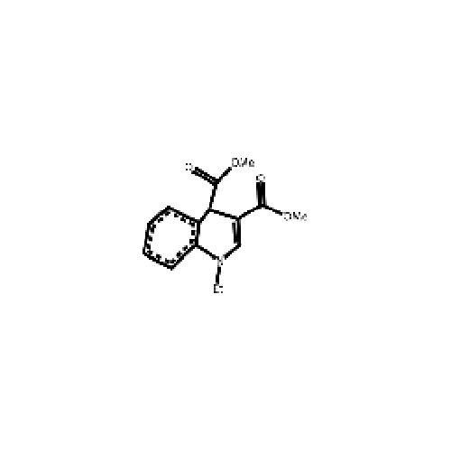 CCN1C=C(C(=O)OC)C(C(=O)OC)c2ccccc21